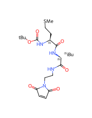 CC[C@H](C)[C@H](NC(=O)[C@H](CCSC)NC(=O)OC(C)(C)C)C(=O)NCCN1C(=O)C=CC1=O